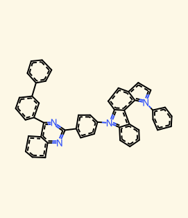 c1ccc(-c2cccc(-c3nc(-c4ccc(-n5c6ccccc6c6c7c(ccc65)ccn7-c5ccccc5)cc4)nc4ccccc34)c2)cc1